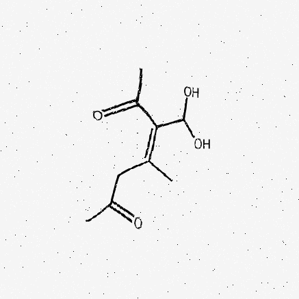 CC(=O)CC(C)=C(C(C)=O)C(O)O